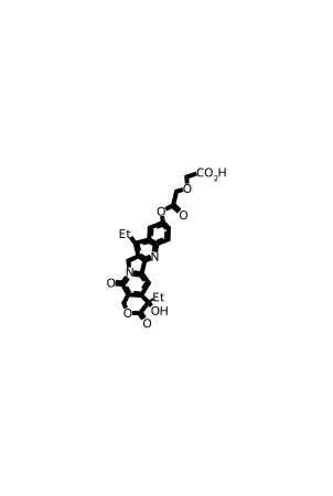 CCc1c2c(nc3ccc(OC(=O)COCC(=O)O)cc13)-c1cc3c(c(=O)n1C2)COC(=O)[C@]3(O)CC